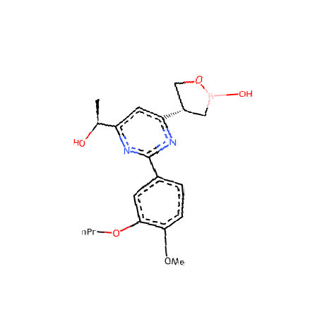 CCCOc1cc(-c2nc([C@@H]3COB(O)C3)cc([C@H](C)O)n2)ccc1OC